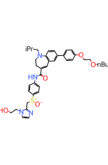 CCCCOCCOc1ccc(-c2ccc3c(c2)C=C(C(=O)Nc2ccc([S+]([O-])Cc4nccn4CCO)cc2)CCN3CC(C)C)cc1